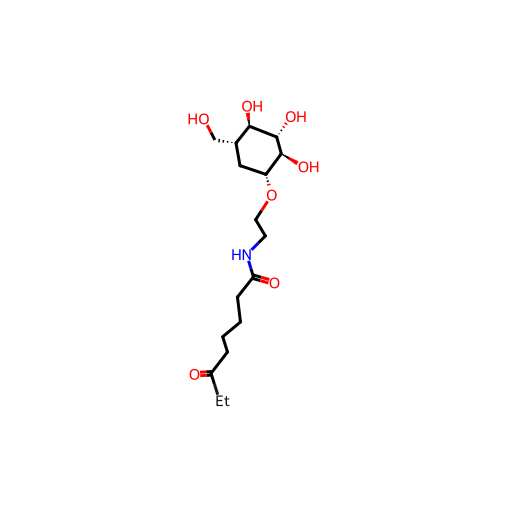 CCC(=O)CCCCC(=O)NCCO[C@@H]1C[C@H](CO)[C@@H](O)[C@H](O)[C@H]1O